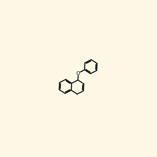 [CH]1C=CC(Oc2ccccc2)c2ccccc21